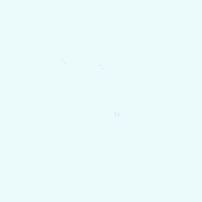 CN1CC2CC1CN2c1cccc2c1C=Nc1ccccc1S2